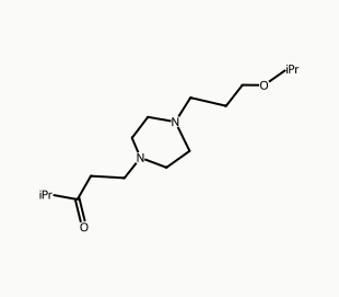 CC(C)OCCCN1CCN(CCC(=O)C(C)C)CC1